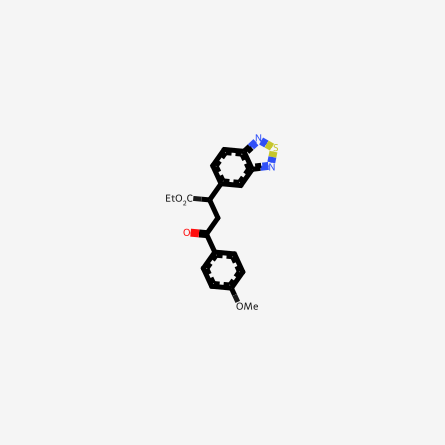 CCOC(=O)C(CC(=O)c1ccc(OC)cc1)c1ccc2nsnc2c1